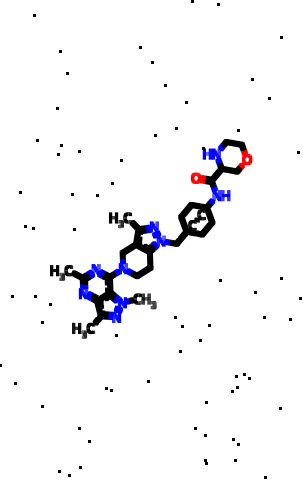 Cc1nc(N2CCc3c(c(C)nn3CC34CCC(NC(=O)C5COCCN5)(CC3)CC4)C2)c2c(n1)c(C)nn2C